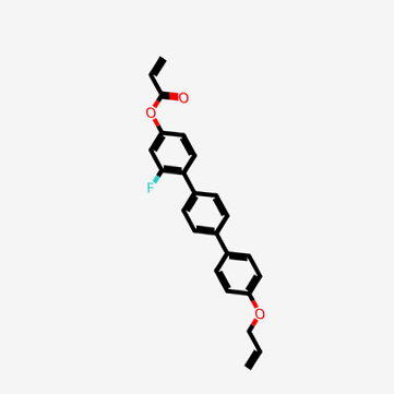 C=CCOc1ccc(-c2ccc(-c3ccc(OC(=O)C=C)cc3F)cc2)cc1